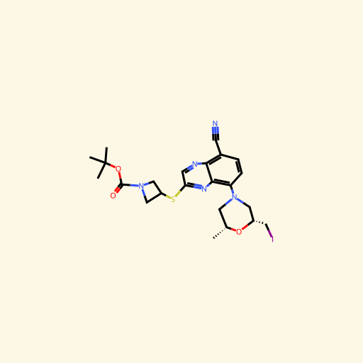 C[C@@H]1CN(c2ccc(C#N)c3ncc(SC4CN(C(=O)OC(C)(C)C)C4)nc23)C[C@H](CI)O1